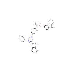 CC1(C)c2ccccc2-c2c1ccc1c2Oc2cccc(-c3ccc(-c4nc(-c5ccccc5)nc(-c5ccc6ccccc6c5)n4)cc3)c2O1